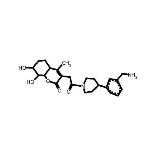 CC1=C(CC(=O)N2CCC(c3cccc(CN)c3)CC2)C(=O)OC2C1CCC(O)C2O